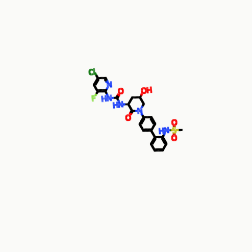 CS(=O)(=O)Nc1ccccc1-c1ccc(N2C[C@H](O)C[C@H](NC(=O)Nc3ncc(Cl)cc3F)C2=O)cc1